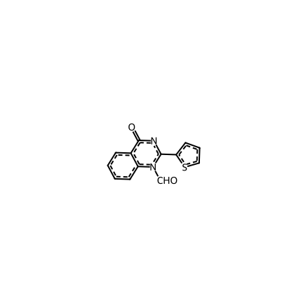 O=Cn1c(-c2cccs2)nc(=O)c2ccccc21